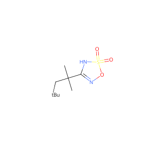 CC(C)(C)CC(C)(C)C1=NOS(=O)(=O)N1